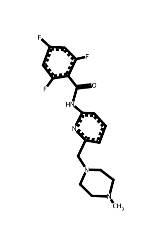 CN1CCN(Cc2cccc(NC(=O)c3c(F)cc(F)cc3F)n2)CC1